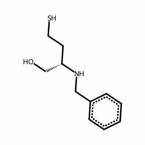 OC[C@H](CCS)NCc1ccccc1